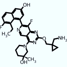 CCc1c(F)ccc2cc(O)cc(-c3ncc4c(N5CCC[C@@](C)(O)C5)nc(OCC5(CN)CC5)nc4c3F)c12